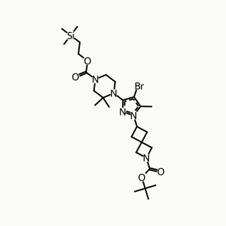 Cc1c(Br)c(N2CCN(C(=O)OCC[Si](C)(C)C)CC2(C)C)nn1C1CC2(C1)CN(C(=O)OC(C)(C)C)C2